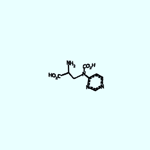 NC(CN(C(=O)O)c1ccncn1)C(=O)O